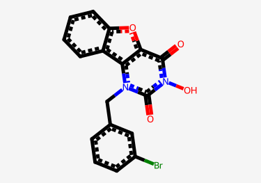 O=c1c2oc3ccccc3c2n(Cc2cccc(Br)c2)c(=O)n1O